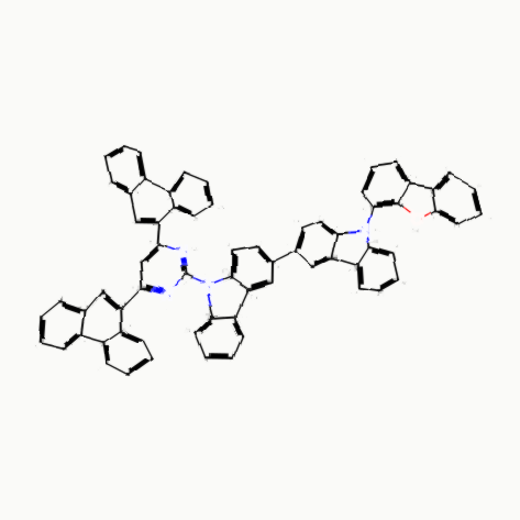 c1ccc2c(c1)cc(-c1cc(-c3cc4ccccc4c4ccccc34)nc(-n3c4ccccc4c4cc(-c5ccc6c(c5)c5ccccc5n6-c5cccc6c5oc5ccccc56)ccc43)n1)c1ccccc12